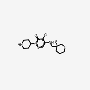 O=c1c(Cl)c(NC[C@@]2(F)CCCOC2)cnn1C1CCNCC1